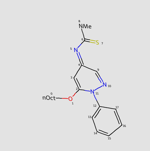 CCCCCCCCOc1cc(=NC(=S)NC)cnn1-c1ccccc1